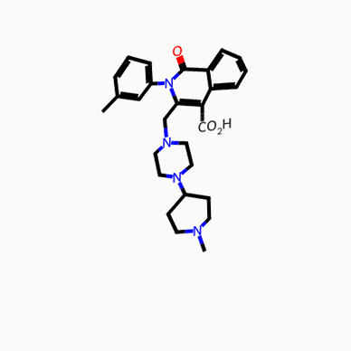 Cc1cccc(-n2c(CN3CCN(C4CCN(C)CC4)CC3)c(C(=O)O)c3ccccc3c2=O)c1